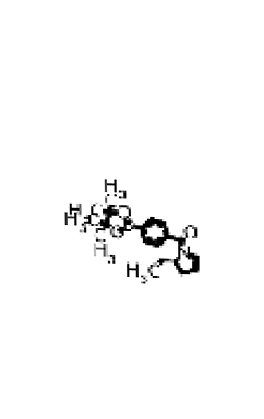 CC[C@@H]1CCCN1C(=O)c1ccc(B2OC(C)(C)C(C)(C)O2)cc1